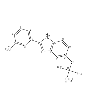 CC(C)(C)c1cccc(-c2cc3cc(CC(F)(F)C(=O)O)ccc3[nH]2)c1